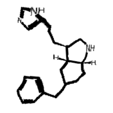 c1ccc(CC2CC[C@H]3NC[C@H](CCc4cnc[nH]4)[C@H]3C2)cc1